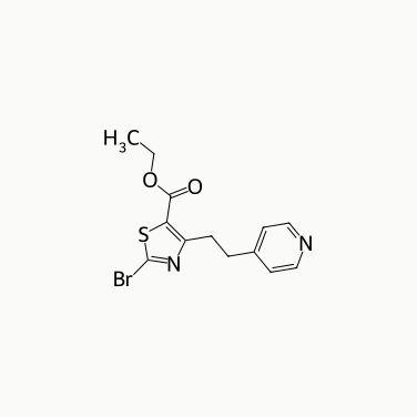 CCOC(=O)c1sc(Br)nc1CCc1ccncc1